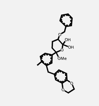 COC1(c2ccc(C)c(Cc3ccc4c(c3)OCCO4)c2)CCC(OCc2ccccc2)C(O)(O)O1